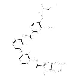 COc1nc(C(=O)Nc2cccc(-c3cccc(NC(=O)c4nc5c(n4C)CCN(C)C5)c3Cl)c2C)ccc1CNC(C)CO